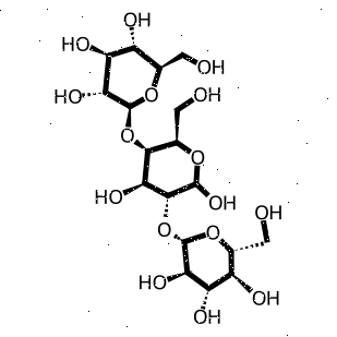 OC[C@H]1O[C@@H](O[C@@H]2[C@H](O)[C@@H](O[C@@H]3O[C@H](CO)[C@@H](O)[C@H](O)[C@H]3O)C(O)O[C@@H]2CO)[C@H](O)[C@@H](O)[C@@H]1O